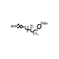 CC(COC1CCC(OC(C)(C)C)CC1)CC(C)C(F)(F)COC1CC2(C1)CN(C(C)(C)C)C2